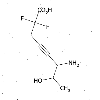 CC(O)C(N)C#CCC(F)(F)C(=O)O